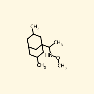 CONC(C)C12CC(C)CC(CC(C)C1)C2